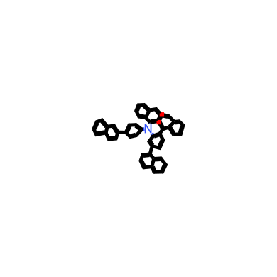 c1ccc2cc(-c3ccc(N(c4cc(-c5cccc6ccccc56)ccc4-c4cccc5ccccc45)c4cccc5ccccc45)cc3)ccc2c1